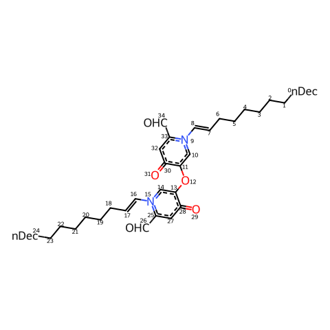 CCCCCCCCCCCCCCCCC=Cn1cc(Oc2cn(C=CCCCCCCCCCCCCCCCC)c(C=O)cc2=O)c(=O)cc1C=O